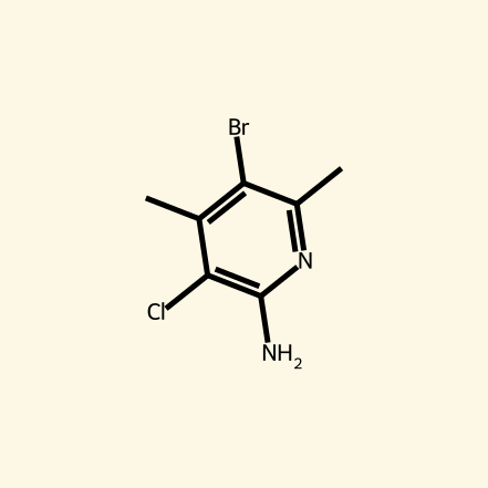 Cc1nc(N)c(Cl)c(C)c1Br